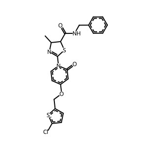 CC1N=C(n2ccc(OCc3ccc(Cl)s3)cc2=O)SC1C(=O)NCc1ccccc1